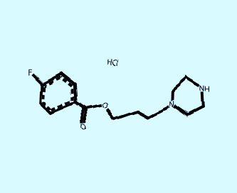 Cl.O=C(OCCCN1CCNCC1)c1ccc(F)cc1